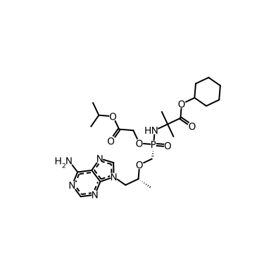 CC(C)OC(=O)CO[P@@](=O)(CO[C@H](C)Cn1cnc2c(N)ncnc21)NC(C)(C)C(=O)OC1CCCCC1